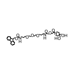 O=C(COCC(=O)N1CCC(CO)(CO)CC1)NCCCOCCOCCOCCCNC(=O)OCC1c2ccccc2-c2ccccc21